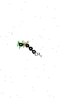 CC1CCC(c2ccc(-c3cc(F)c(OC(F)(F)c4cc(F)c(F)c(F)c4)c(F)c3)cc2)CC1